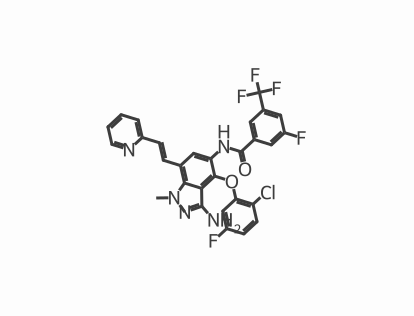 Cn1nc(N)c2c(Oc3cc(F)ccc3Cl)c(NC(=O)c3cc(F)cc(C(F)(F)F)c3)cc(/C=C/c3ccccn3)c21